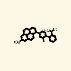 CCC(O)c1ccccc1-c1ccc(-c2ccc3ccc4cc(C(C)(C)C)cc5ccc2c3c45)cc1C